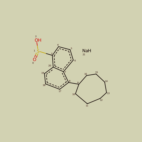 O=S(O)c1cccc2c(C3CCCCCCC3)cccc12.[NaH]